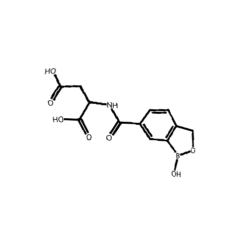 O=C(O)CC(NC(=O)c1ccc2c(c1)B(O)OC2)C(=O)O